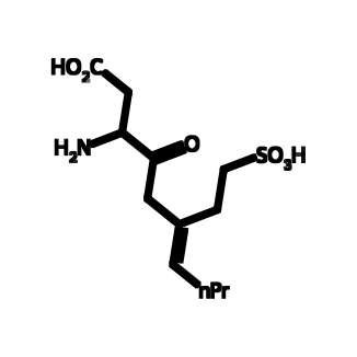 CCC/C=C(\CCS(=O)(=O)O)CC(=O)C(N)CC(=O)O